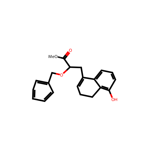 COC(=O)C(CC1=CCCc2c(O)cccc21)OCc1ccccc1